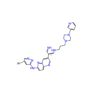 CC(C)c1cnnc(Nc2ccc3ncc(/C(C=N)=C/NCCCN4CCN(c5cccnc5)CC4)cc3n2)c1